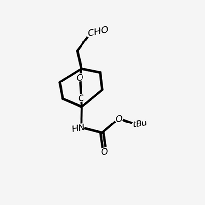 CC(C)(C)OC(=O)NC12CCC(CC=O)(CC1)OC2